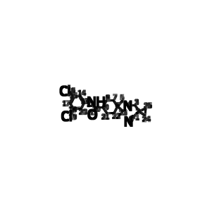 N#CC1(CN2CC3(CCC(C(=O)Nc4cc(Cl)cc(Cl)c4)CC3)C2)CC1